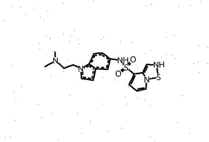 CN(C)CCn1ccc2cc(NS(=O)(=O)C3=CC=CN4SNC=C34)ccc21